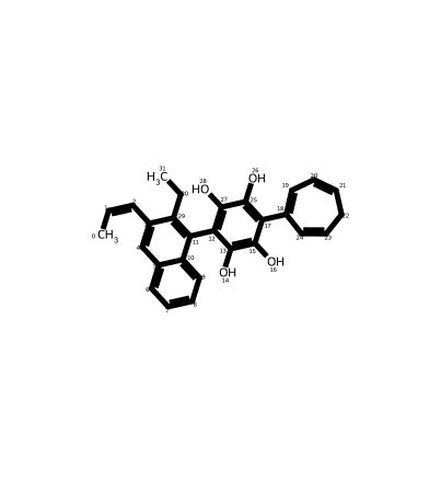 C/C=C\c1cc2ccccc2c(-c2c(O)c(O)c(C3=CC=CCC=C3)c(O)c2O)c1CC